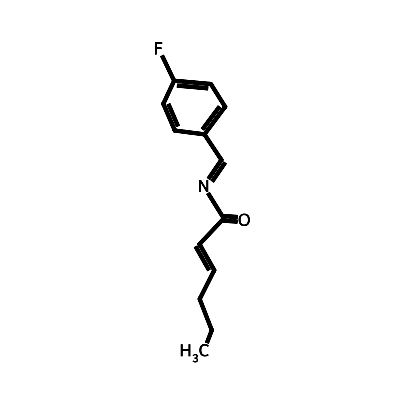 CCCC=CC(=O)N=Cc1ccc(F)cc1